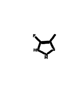 CC1=C(F)NNS1